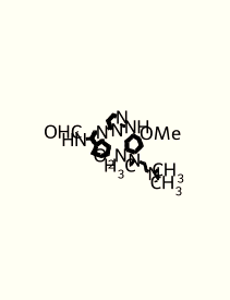 COc1cc(N(C)CCN(C)C)c([N+](=O)[O-])cc1Nc1nccc(-n2cc(NC=O)c3ccccc32)n1